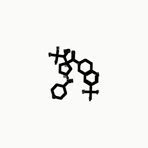 O=C(N1CCc2ncc(C(F)(F)F)cc2C1)[C@@]1(C(O)C(F)(F)F)CC[C@@H](NC2CCOCC2)C1